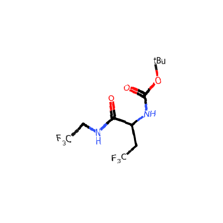 CC(C)(C)OC(=O)NC(CC(F)(F)F)C(=O)NCC(F)(F)F